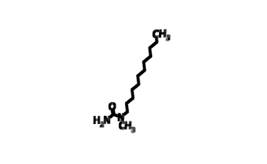 CCCCCCCCCCCCN(C)C(N)=O